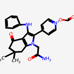 CC1(C)CC(=O)c2c(Nc3ccccc3)c(-c3cc[n+](OC=O)cc3)n(CC(N)=O)c2C1